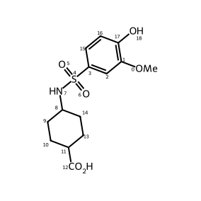 COc1cc(S(=O)(=O)NC2CCC(C(=O)O)CC2)ccc1O